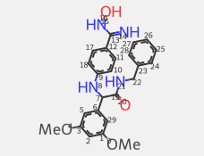 COc1cc(OC)cc(C(Nc2ccc(C(=N)NO)cc2)C(=O)NCc2ccccc2)c1